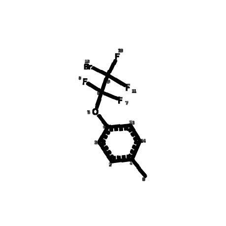 Cc1ccc(OC(F)(F)C(F)(F)Br)cc1